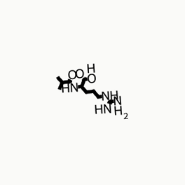 CC(C)C(=O)NC(CCCNC(=N)N)C(=O)O